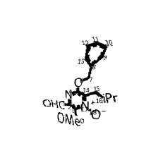 COc1c(C=O)nc(OCc2ccccc2)c(CC(C)C)[n+]1[O-]